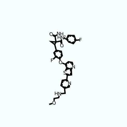 COCCNCc1ccc(-c2cc3nccc(Oc4ccc(C5CC5(C(N)=O)C(=O)Nc5ccc(F)cc5)cc4F)c3s2)nc1